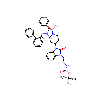 CC(C)(C)OC(=O)NCCn1c(=O)n(C2CCN(C(=O)O)[C@](CCCc3ccccc3)(N(Cc3ccccc3)Cc3ccccc3)C2)c2ccccc21